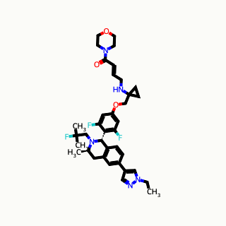 CCn1cc(-c2ccc3c(c2)C[C@@H](C)N(CC(C)(C)F)[C@@H]3c2c(F)cc(OCC3(NC/C=C/C(=O)N4CCOCC4)CC3)cc2F)cn1